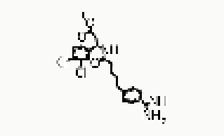 CCOC(=O)CC(NC(=O)CCCCc1ccc(C(=N)N)cc1)c1ccc(Cl)c(Cl)c1